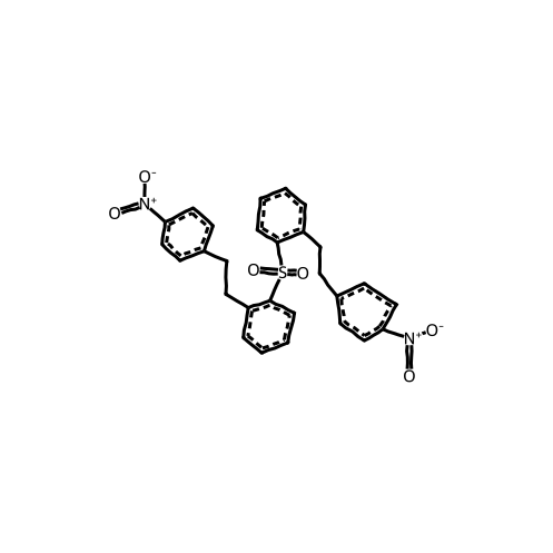 O=[N+]([O-])c1ccc(CCc2ccccc2S(=O)(=O)c2ccccc2CCc2ccc([N+](=O)[O-])cc2)cc1